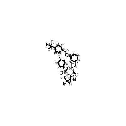 O=C(NCc1cccc(OCc2ccc(C(F)(F)F)cc2)c1)[C@@H]1[C@H]2C[C@H]2CN1S(=O)(=O)c1ccc(F)cc1